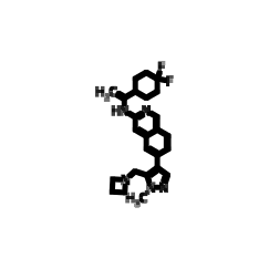 C=C(Nc1cc2cc(-c3cnn(C)c3CN3CCC3)ccc2cn1)C1CCC(F)(F)CC1